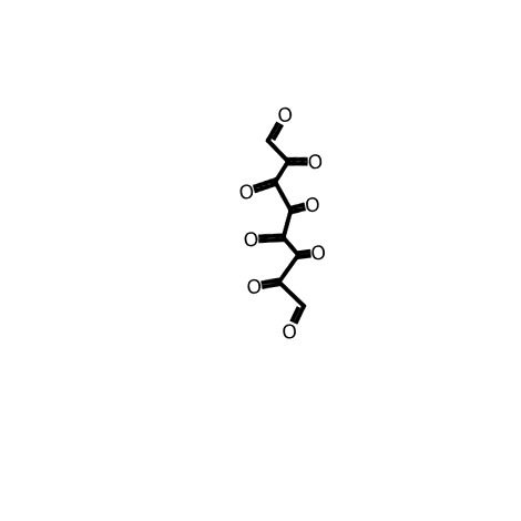 O=CC(=O)C(=O)C(=O)C(=O)C(=O)C(=O)C=O